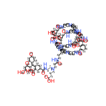 O=C(O)CCCN(CCNC(=O)c1ccc(-c2c3ccc(=O)cc-3oc3cc(O)ccc23)c(C(=O)O)c1)CCC(=O)NCCCCC1CN2CCNC(=O)c3cccc(c3O)C(=O)NCCN(CCNC(=O)c3cccc(c3O)C(=O)N1)CCN1CCNC(=O)c3cccc(c3O)C(=O)NCCN(CCNC(=O)c3cccc(c3O)C(=O)NCC1)CC2